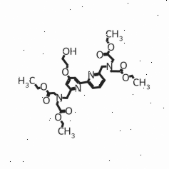 CCOC(=O)CN(CC(=O)OCC)Cc1cccc(-c2cc(OCCO)cc(CN(CC(=O)OCC)CC(=O)OCC)n2)n1